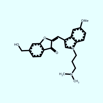 COc1ccc2c(c1)c(C=C1Oc3cc(CO)ccc3C1=O)cn2CCCN(C)C